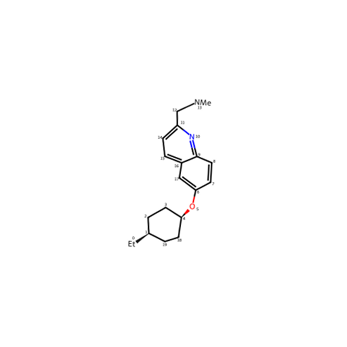 CC[C@H]1CC[C@@H](Oc2ccc3nc(CNC)ccc3c2)CC1